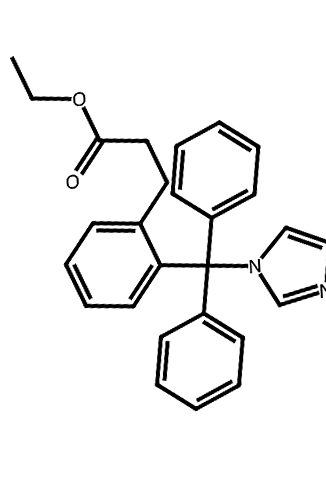 CCOC(=O)CCc1ccccc1C(c1ccccc1)(c1ccccc1)n1ccnc1